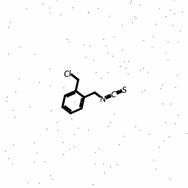 S=C=NCc1ccccc1CCl